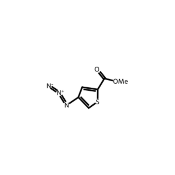 COC(=O)c1cc(N=[N+]=[N-])cs1